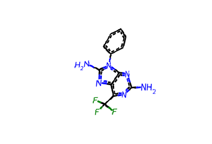 Nc1nc(C(F)(F)F)c2nc(N)n(-c3ccccc3)c2n1